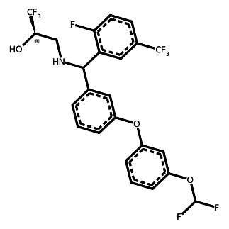 O[C@H](CNC(c1cccc(Oc2cccc(OC(F)F)c2)c1)c1cc(C(F)(F)F)ccc1F)C(F)(F)F